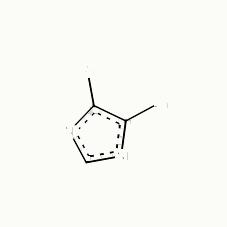 CC(=O)c1nc[nH]c1C(C)C